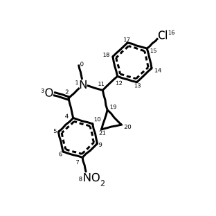 CN(C(=O)c1ccc([N+](=O)[O-])cc1)C(c1ccc(Cl)cc1)C1CC1